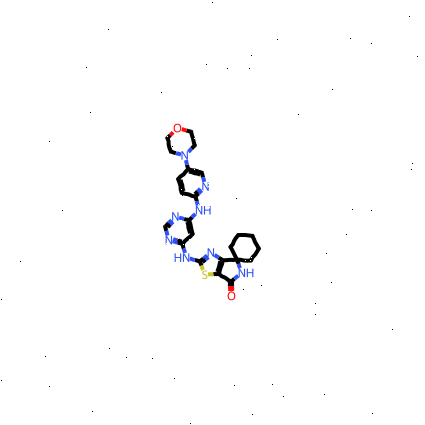 O=C1NC2(CCCCC2)c2nc(Nc3cc(Nc4ccc(N5CCOCC5)cn4)ncn3)sc21